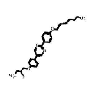 CCCCCCCOc1ccc(-c2ncc(-c3ccc(OCC(F)CC)cc3)cn2)cc1